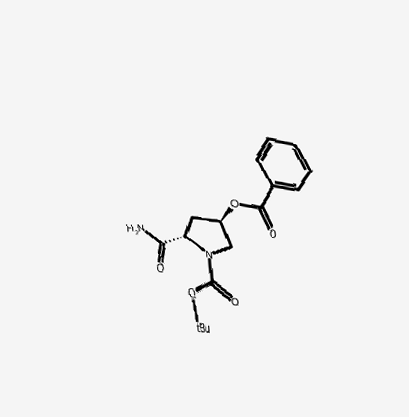 CC(C)(C)OC(=O)N1C[C@H](OC(=O)c2ccccc2)C[C@H]1C(N)=O